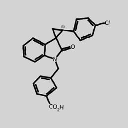 O=C(O)c1cccc(CN2C(=O)C3(C[C@H]3c3ccc(Cl)cc3)c3ccccc32)c1